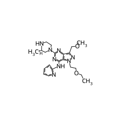 CCOCCn1nc(COC)c2nc(N3CCN[C@H](C)C3)nc(Nc3ccccn3)c21